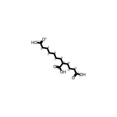 O=C(O)CCC[CH]CCC(CCCC(=O)O)C(=O)O